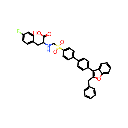 O=C(O)C(Cc1ccc(F)cc1)NCS(=O)(=O)c1ccc(-c2ccc(-c3c(Cc4ccccc4)oc4ccccc34)cc2)cc1